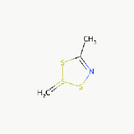 C=S1SN=C(C)S1